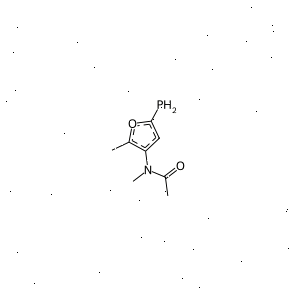 CC(=O)N(C)c1cc(P)oc1C